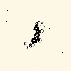 O=c1c2cc(OC(F)(F)F)ccc2c2cc3c(cc12)c(=O)c1cc(OC(F)(F)F)ccc13